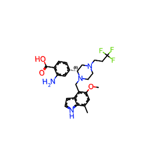 COc1cc(C)c2[nH]ccc2c1CN1CCN(CCC(F)(F)F)C[C@H]1c1ccc(C(=O)O)c(N)c1